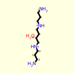 NCCCNCCCCNCCCN.O